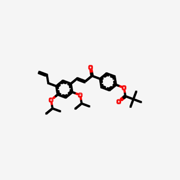 C=CCc1cc(/C=C/C(=O)c2ccc(OC(=O)C(C)(C)C)cc2)c(OC(C)C)cc1OC(C)C